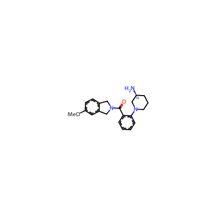 COc1ccc2c(c1)CN(C(=O)c1[c]cccc1N1CCC[C@H](N)C1)C2